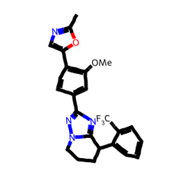 COc1cc(-c2nc3n(n2)CCCC3c2ccccc2C(F)(F)F)ccc1-c1cnc(C)o1